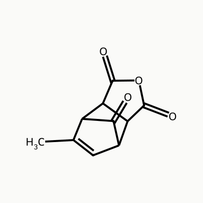 CC1=CC2C(=O)C1C1C(=O)OC(=O)C21